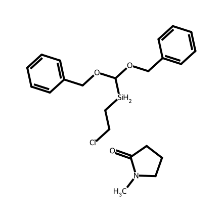 CN1CCCC1=O.ClCC[SiH2]C(OCc1ccccc1)OCc1ccccc1